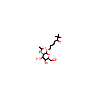 CC(=O)NC1C(OCCCCC(=O)C(C)(C)C)OC(CO)C(O)C1O